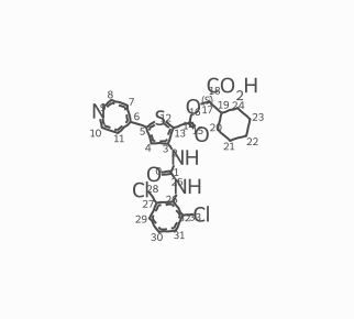 O=C(Nc1cc(-c2ccncc2)sc1C(=O)O[C@H](C(=O)O)C1CCCCC1)Nc1c(Cl)cccc1Cl